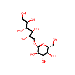 OC[C@@H](O)[C@@H](O)[C@H](O)[C@@H](O)CO[C@@H]1O[C@H](CO)[C@@H](O)[C@H](O)[C@H]1O